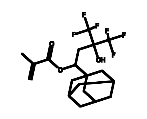 C=C(C)C(=O)OC(CC(O)(C(F)(F)F)C(F)(F)F)C12CC3CC(CC(C3)C1)C2